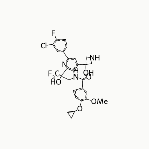 COc1cc(C(=O)NCC(O)(c2cc(C3(O)CNC3)cc(-c3ccc(F)c(Cl)c3)n2)C(F)(F)F)ccc1OC1CC1